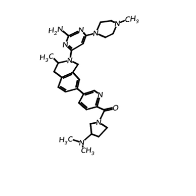 CC1Cc2ccc(-c3ccc(C(=O)N4CCC(N(C)C)C4)nc3)cc2CN1c1cc(N2CCN(C)CC2)nc(N)n1